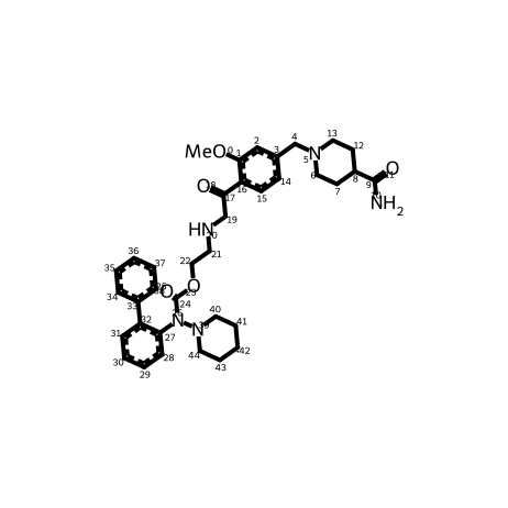 COc1cc(CN2CCC(C(N)=O)CC2)ccc1C(=O)CNCCOC(=O)N(c1ccccc1-c1ccccc1)N1CC[CH]CC1